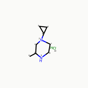 CC1CN(C2CC2)CCN1.Cl